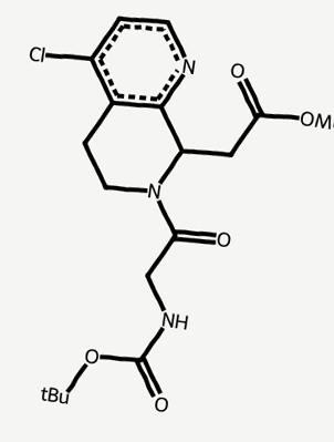 COC(=O)CC1c2nccc(Cl)c2CCN1C(=O)CNC(=O)OC(C)(C)C